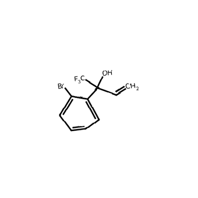 C=CC(O)(c1ccccc1Br)C(F)(F)F